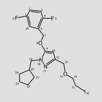 Fc1ccc(F)c(COc2cc(COCCI)nn2CC2CCCC2)c1